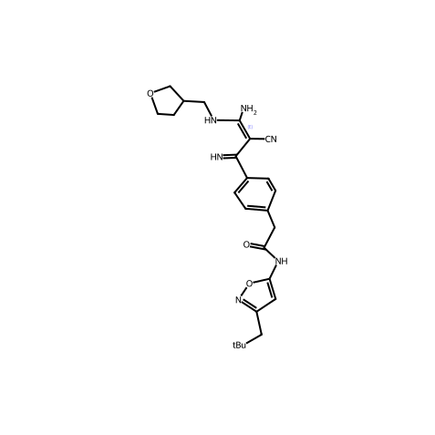 CC(C)(C)Cc1cc(NC(=O)Cc2ccc(C(=N)/C(C#N)=C(/N)NCC3CCOC3)cc2)on1